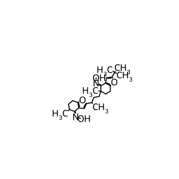 CC1CCc2oc(C(C)CCC3(C)CCc4oc(C(C)(C)C)cc4/C3=N\O)cc2/C1=N\O